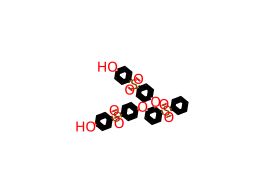 O=S(=O)(c1ccc(O)cc1)c1ccc(Oc2cccc(S(=O)(=O)c3ccccc3)c2Oc2ccc(S(=O)(=O)c3ccc(O)cc3)cc2)cc1